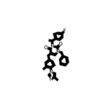 Cc1cn(-c2ccc(Cc3cn(Cc4ccccc4)c(=O)n(C(C)c4ccc(F)cc4)c3=O)cc2C)cn1